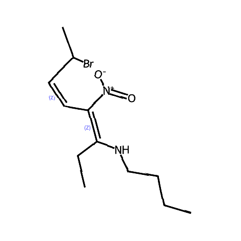 CCCCN/C(CC)=C(/C=C\C(C)Br)[N+](=O)[O-]